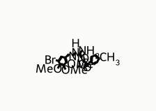 COc1c(Br)cc(C=NNC(N)=NOS(=O)(=O)c2ccc(C)cc2)c(OC)c1OC